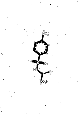 CC(C)[C@H](NS(=O)(=O)c1ccc([N+](=O)[O-])cc1)C(=O)O